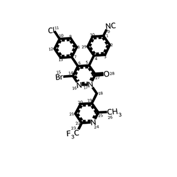 [C-]#[N+]c1ccc(-c2c(-c3ccc(Cl)cc3)c(Br)nn(Cc3ccc(C(F)(F)F)nc3C)c2=O)cc1